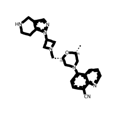 C[C@@H]1CN(c2ccc(C#N)c3ncccc23)C[C@H](CN2CC(n3ncc4c3CCNC4)C2)O1